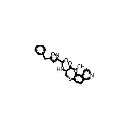 CN1C(=O)C(NC(=O)c2cc(Cc3ccccc3)on2)CSc2ccc3cnccc3c21